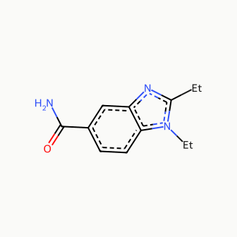 CCc1nc2cc(C(N)=O)ccc2n1CC